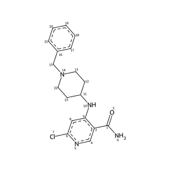 NC(=O)c1cnc(Cl)cc1NC1CCN(Cc2ccccc2)CC1